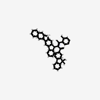 C=C(/C(=C(/C)c1ccccc1C)C1c2ccccc2-c2cc3c(cc21)sc1cc2ccccc2cc13)c1ccc2c(c1)C(C)(C)c1ccccc1-2